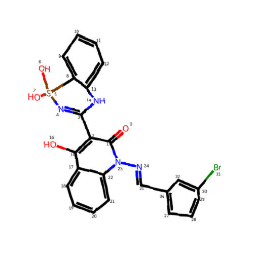 O=c1c(C2=NS(O)(O)c3ccccc3N2)c(O)c2ccccc2n1N=Cc1cccc(Br)c1